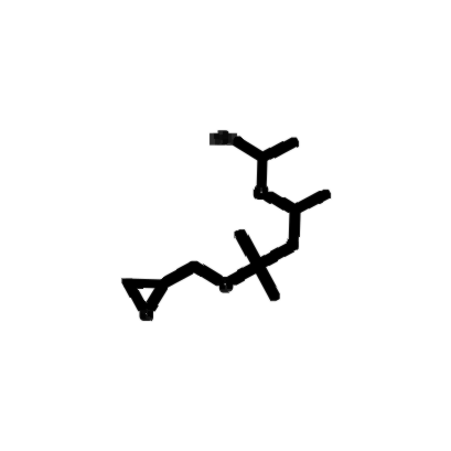 CCCCC(C)OC(C)CC(C)(C)OCC1CO1